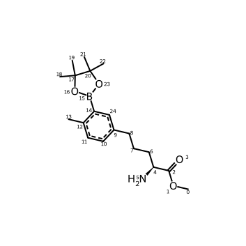 COC(=O)[C@@H](N)CCCc1ccc(C)c(B2OC(C)(C)C(C)(C)O2)c1